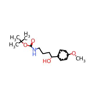 COc1ccc([C@H](O)CCCNC(=O)OC(C)(C)C)cc1